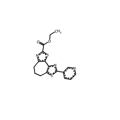 CCOC(=O)c1nc2c(s1)-c1nc(-c3cccnc3)sc1CCC2